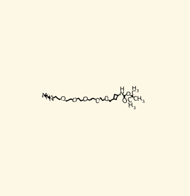 CC(C)(C)OC(=O)NC1CC(COCCOCCOCCOCCOCCN=[N+]=[N-])C1